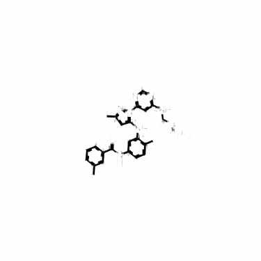 Cc1cccc(C(=O)Nc2ccc(C)c(Nc3cc(C)nn3-c3cc(NCOC=O)ncn3)c2)c1